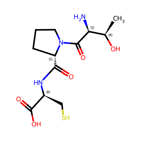 C[C@@H](O)[C@H](N)C(=O)N1CCC[C@H]1C(=O)N[C@@H](CS)C(=O)O